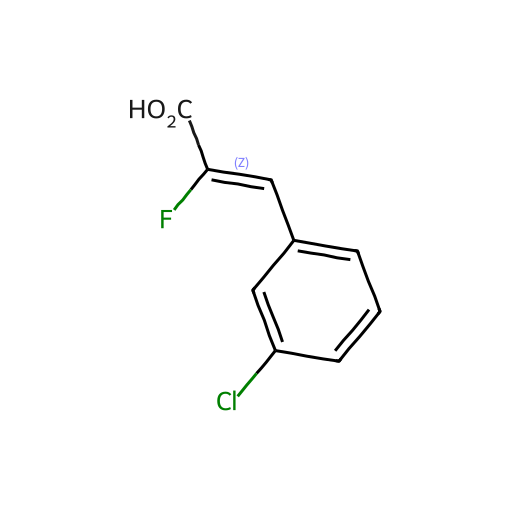 O=C(O)/C(F)=C/c1cccc(Cl)c1